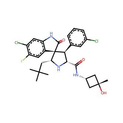 CC(C)(C)C[C@H]1N[C@@H](C(=O)N[C@H]2C[C@@](C)(O)C2)[C@H](c2cccc(Cl)c2)[C@@]12C(=O)Nc1cc(Cl)c(F)cc12